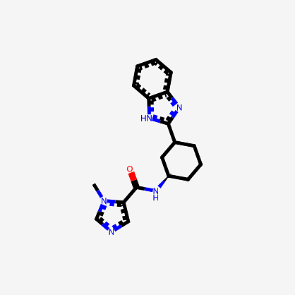 Cn1cncc1C(=O)N[C@@H]1CCCC(c2nc3ccccc3[nH]2)C1